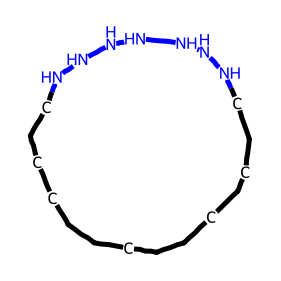 C1CCCCCCCNNNNNNNCCCCCC1